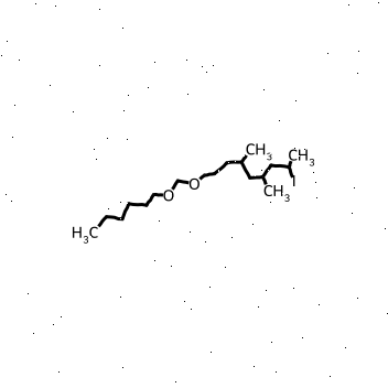 CCCCCCOCOCCCC(C)CC(C)CC(C)I